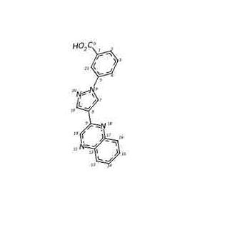 O=C(O)c1cccc(-n2cc(-c3cnc4ccccc4n3)cn2)c1